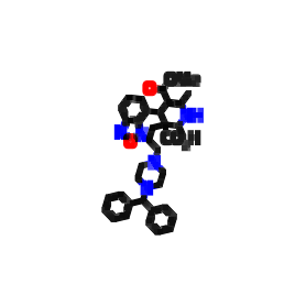 COC(=O)C1=C(C)NC(C)C(CCCN2CCN(C(c3ccccc3)c3ccccc3)CC2)(C(=O)O)C1c1cccc2nonc12